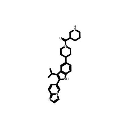 CC(C)c1c(-c2ccc3nccn3c2)[nH]c2ccc(C3CCN(C(=O)C4CCCNC4)CC3)cc12